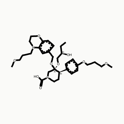 CC[C@@H](O)CO[C@@]1(OCc2ccc3c(c2)N(CCCOC)CCO3)CN(C(=O)O)CC[C@@H]1c1ccc(OCCCOC)cc1